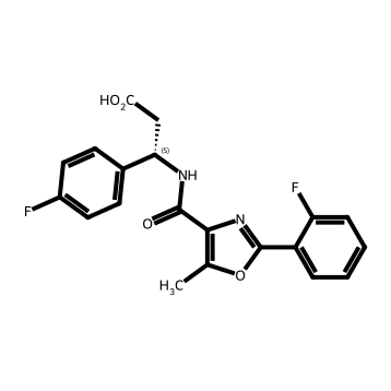 Cc1oc(-c2ccccc2F)nc1C(=O)N[C@@H](CC(=O)O)c1ccc(F)cc1